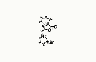 O=C1OC(=CN2C=CC=C(Br)C2)C2=C1CCCC2